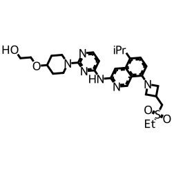 CCS(=O)(=O)CC1CN(c2ccc(C(C)C)c3cc(Nc4ccnc(N5CCC(OCCO)CC5)n4)ncc23)C1